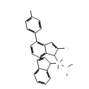 CCCC1=Cc2c(-c3ccc(CC)cc3)cccc2[CH]1[Zr]([Cl])([Cl])([CH]1C=Cc2ccccc21)[SiH](C)C